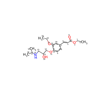 CCOC(=O)/C=C/c1ccc(OCC(O)CNC(C)C)c(OCC)c1